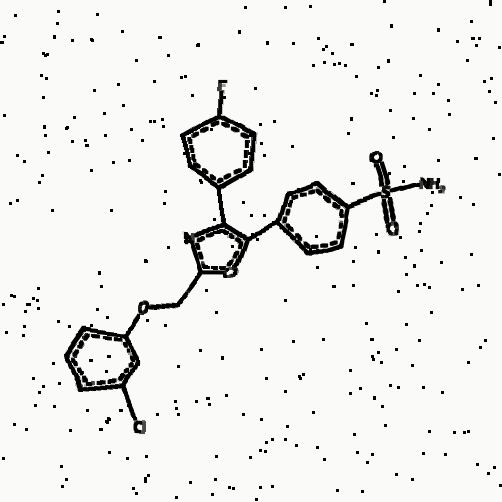 NS(=O)(=O)c1ccc(-c2oc(COc3cccc(Cl)c3)nc2-c2ccc(F)cc2)cc1